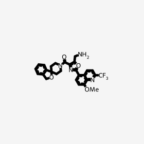 COc1ccc(-c2nc(C(=O)N3CCC4(CC3)OCc3ccccc34)c(CN)o2)c2ccc(C(F)(F)F)nc12